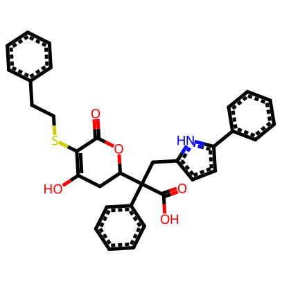 O=C1OC(C(Cc2ccc(-c3ccccc3)[nH]2)(C(=O)O)c2ccccc2)CC(O)=C1SCCc1ccccc1